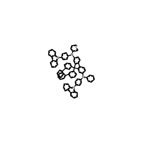 c1ccc(-c2cccc(C3(c4cccc(-c5ccccc5)c4)c4cc(N(c5ccccc5)c5ccc(-n6c7ccccc7c7ccccc76)cc5)ccc4-c4ccc(N(c5ccccc5)c5ccc(-n6c7ccccc7c7ccccc76)cc5)cc43)c2)cc1